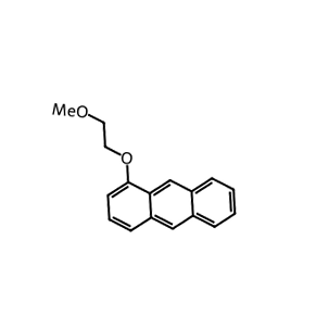 COCCOc1cccc2cc3ccccc3cc12